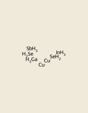 [Cu].[Cu].[GaH3].[InH3].[SbH3].[SeH2].[SeH2]